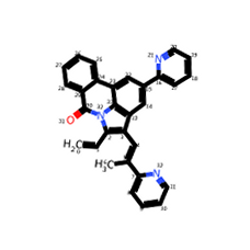 C=Cc1c(/C=C(\C)c2ccccn2)c2cc(-c3ccccn3)cc3c4ccccc4c(=O)n1c23